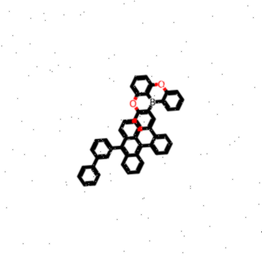 c1ccc(-c2cccc(-c3c4ccccc4c(-c4ccccc4-c4ccc5c(c4)B4c6ccccc6Oc6cccc(c64)O5)c4ccccc34)c2)cc1